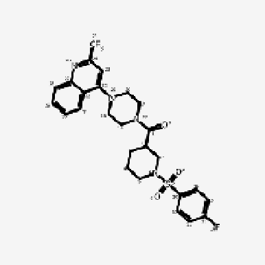 O=C(C1CCCN(S(=O)(=O)c2ccc(F)cc2)C1)N1CCN(c2cc(C(F)(F)F)nc3ccccc23)CC1